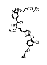 CCOC(=O)CCNc1cc(C(=O)N[C@@H](C)/C=C/c2cnc(Oc3ccc(OCC4CC4)cc3Cl)s2)ccn1